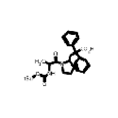 CC(NC(=O)OC(C)(C)C)C(=O)N1CCCC1CC(C(=O)O)(c1ccccc1)c1ccccc1